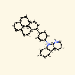 c1cc2ccc3ccc(-c4ccc(-n5c6ccccc6c6cccnc65)cc4)c4ccc(c1)c2c34